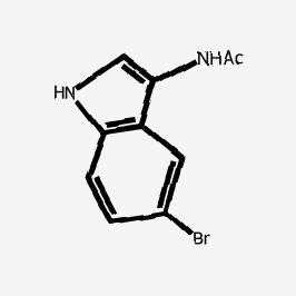 CC(=O)Nc1c[nH]c2ccc(Br)cc12